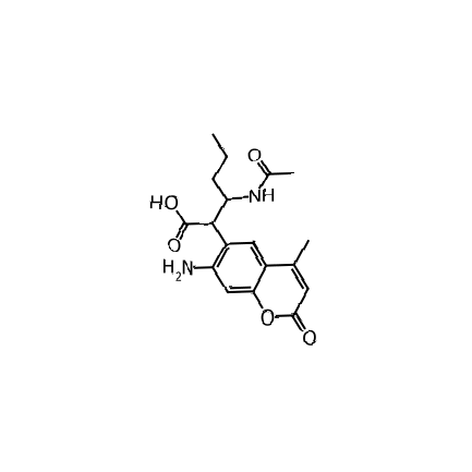 CCCC(NC(C)=O)C(C(=O)O)c1cc2c(C)cc(=O)oc2cc1N